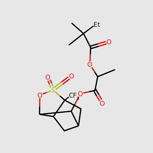 CCC(C)(C)C(=O)OC(C)C(=O)OC1C2CC3C1OS(=O)(=O)C3(C(F)(F)F)C2